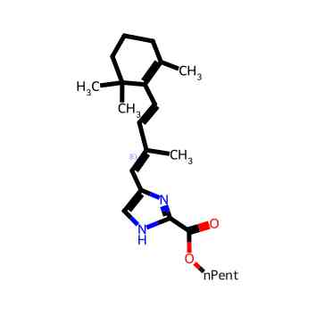 CCCCCOC(=O)c1nc(/C=C(\C)C=CC2=C(C)CCCC2(C)C)c[nH]1